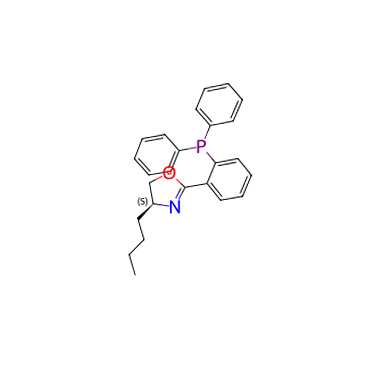 CCCC[C@H]1COC(c2ccccc2P(c2ccccc2)c2ccccc2)=N1